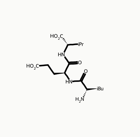 CC[C@H](C)[C@H](N)C(=O)N[C@@H](CCC(=O)O)C(=O)N[C@H](C(=O)O)C(C)C